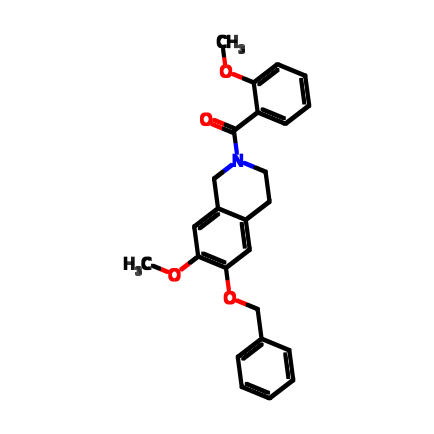 COc1cc2c(cc1OCc1ccccc1)CCN(C(=O)c1ccccc1OC)C2